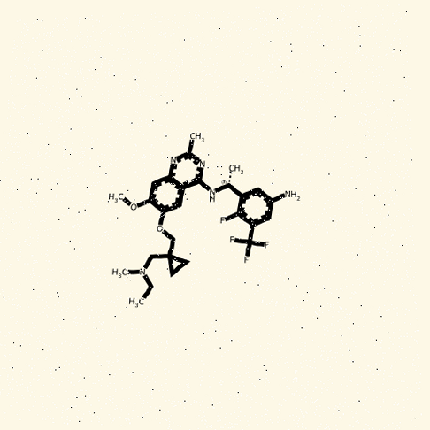 CCN(C)CC1(COc2cc3c(N[C@H](C)c4cc(N)cc(C(F)(F)F)c4F)nc(C)nc3cc2OC)CC1